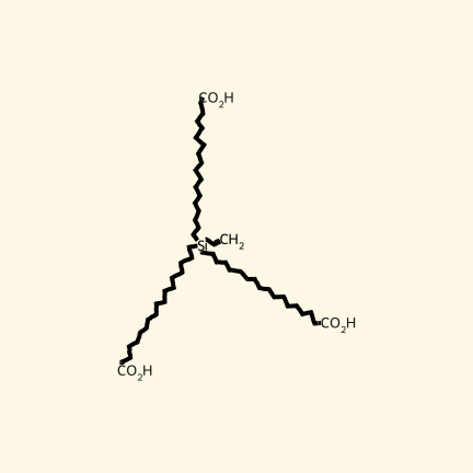 C=CC[Si](CCCCCCCCCCCCCCCCCC(=O)O)(CCCCCCCCCCCCCCCCCC(=O)O)CCCCCCCCCCCCCCCCCC(=O)O